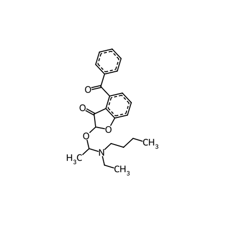 CCCCN(CC)C(C)OC1Oc2cccc(C(=O)c3ccccc3)c2C1=O